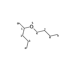 [CH2]C(CCC)OCCCC